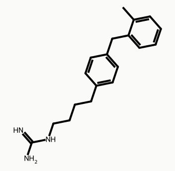 Cc1ccccc1Cc1ccc(CCCCNC(=N)N)cc1